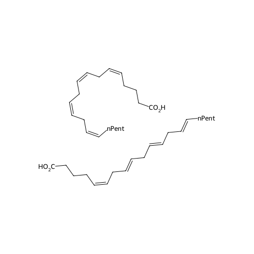 CCCCC/C=C\C/C=C\C/C=C\C/C=C\CCCC(=O)O.CCCCCC=CCC=CCC=CC/C=C\CCCC(=O)O